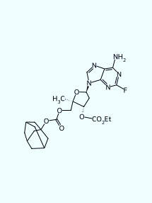 CCOC(=O)O[C@H]1C[C@H](n2cnc3c(N)nc(F)nc32)O[C@]1(C)COC(=O)OC12CC3CC(CC(C3)C1)C2